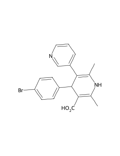 CC1=C(C(=O)O)C(c2ccc(Br)cc2)C(c2cccnc2)=C(C)N1